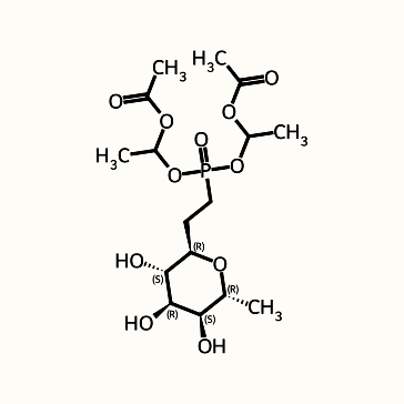 CC(=O)OC(C)OP(=O)(CC[C@H]1O[C@H](C)[C@@H](O)[C@@H](O)[C@@H]1O)OC(C)OC(C)=O